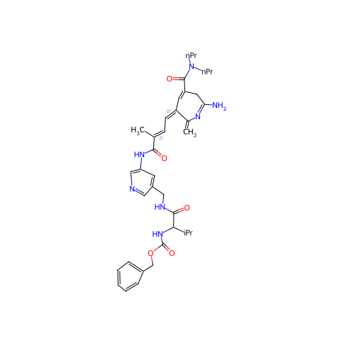 C=C1N=C(N)CC(C(=O)N(CCC)CCC)=C/C1=C/C=C(\C)C(=O)Nc1cncc(CNC(=O)C(NC(=O)OCc2ccccc2)C(C)C)c1